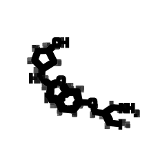 NC/C(=C\F)COc1ccc2nc(NC3CCC(O)C3)oc2c1